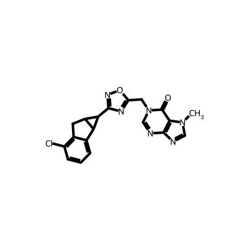 Cn1cnc2ncn(Cc3nc(C4C5Cc6c(Cl)cccc6C54)no3)c(=O)c21